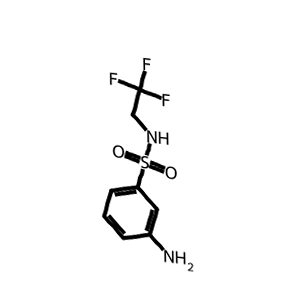 Nc1cccc(S(=O)(=O)NCC(F)(F)F)c1